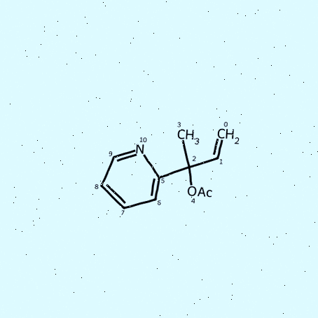 C=CC(C)(OC(C)=O)c1ccccn1